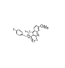 CCSc1nc2cc(OC)ccc2c(C)c1C(=O)NCc1ccc(F)cc1